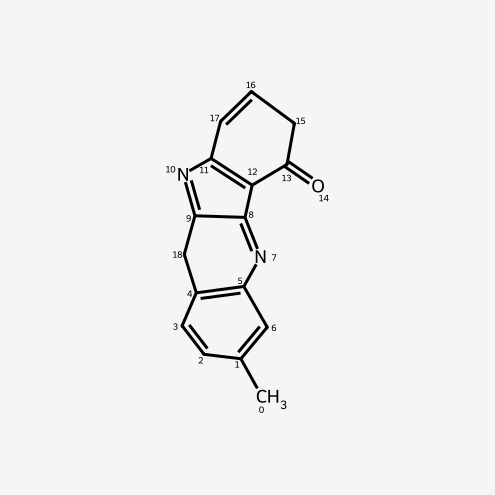 Cc1ccc2c(c1)N=C1C(=NC3=C1C(=O)CC=C3)C2